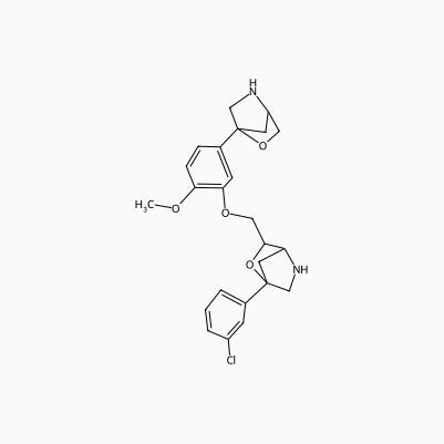 COc1ccc(C23CNC(CO2)C3)cc1OCC1OC2(c3cccc(Cl)c3)CNC1C2